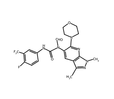 Cc1nn(C)c2nc(N3CCOCC3)c(N(C=O)C(=O)Nc3ccc(F)c(C(F)(F)F)c3)cc12